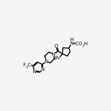 CC(C)C1(C(=O)N2CCN(c3cc(C(F)(F)F)ncn3)CC2)CCC(NC(=O)O)C1